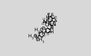 COc1cc(Nc2nc(NC3(C)CC3)c3c(C(F)(F)F)csc3n2)ccc1N1CCC(N(C)C)CC1